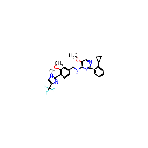 COc1cc(CNc2nc(-c3ccccc3C3CC3)ncc2OC)ccc1-c1nc(C(F)(F)F)cn1C